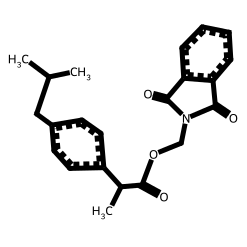 CC(C)Cc1ccc(C(C)C(=O)OCN2C(=O)c3ccccc3C2=O)cc1